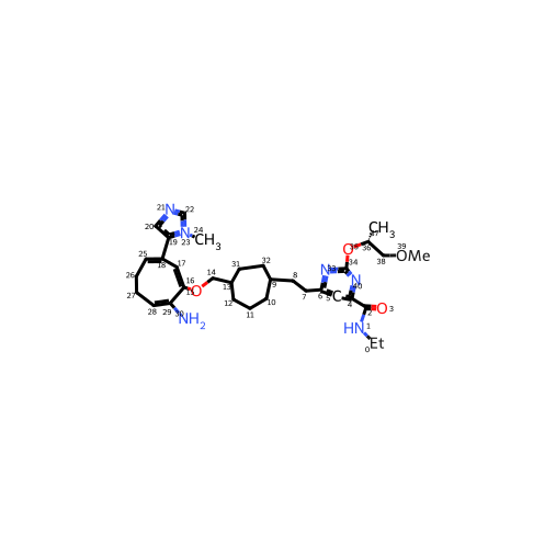 CCNC(=O)c1cc(CCC2CCCC(COC3=C/C(c4cncn4C)=C\CC/C=C\3N)CC2)nc(O[C@H](C)COC)n1